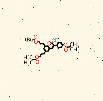 C=C(C)C(=O)OCCCc1cc(CCCOC(=O)C(C)(C)C)c2oc(=O)c(-c3ccc(OC(=O)C(=C)C)cc3F)cc2c1